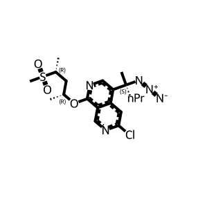 CCC[C@](C)(N=[N+]=[N-])c1cnc(O[C@H](C)C[C@@H](C)S(C)(=O)=O)c2cnc(Cl)cc12